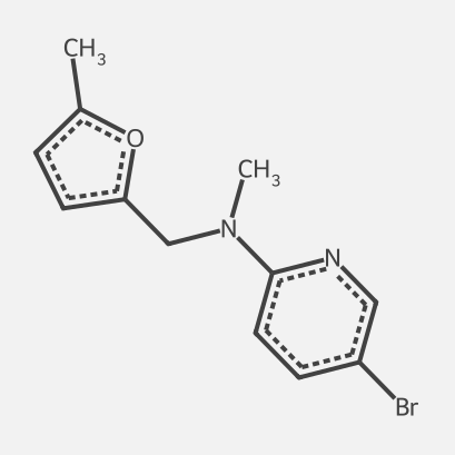 Cc1ccc(CN(C)c2ccc(Br)cn2)o1